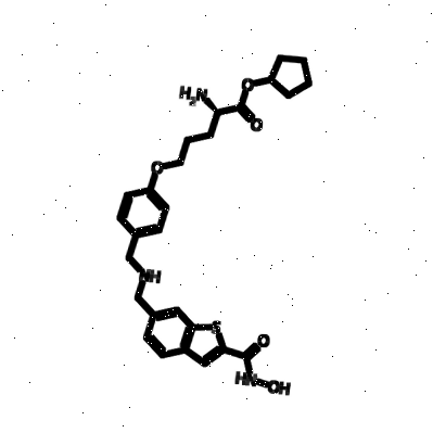 N[C@H](CCCOc1ccc(CNCc2ccc3cc(C(=O)NO)sc3c2)cc1)C(=O)OC1CCCC1